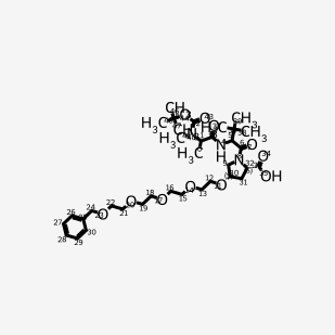 CC(C(=O)NC(C(=O)N1C[C@@H](OCCOCCOCCOCCOCc2ccccc2)C[C@H]1C(=O)O)C(C)(C)C)N(C)C(=O)OC(C)(C)C